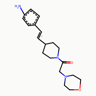 Nc1ccc(/C=C/C2CCN(C(=O)CN3CCOCC3)CC2)cc1